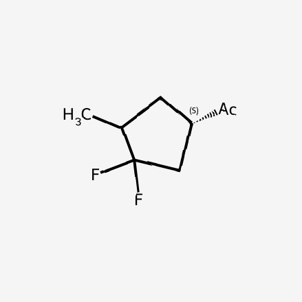 CC(=O)[C@H]1CC(C)C(F)(F)C1